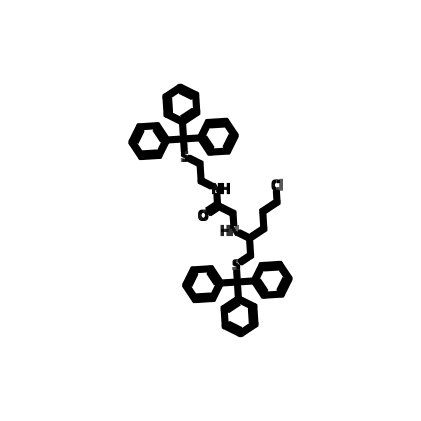 O=C(CNC(CCCCl)CSC(c1ccccc1)(c1ccccc1)c1ccccc1)NCCSC(c1ccccc1)(c1ccccc1)c1ccccc1